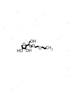 C=CCOCCOO[C@H](CO)[C@H]1OC[C@H](O)[C@H]1O